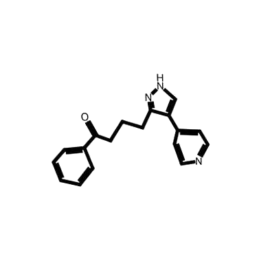 O=C(CCCc1n[nH]cc1-c1ccncc1)c1ccccc1